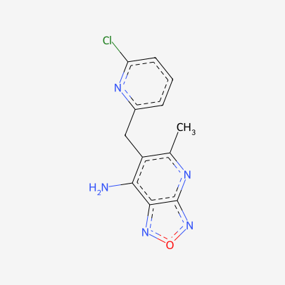 Cc1nc2nonc2c(N)c1Cc1cccc(Cl)n1